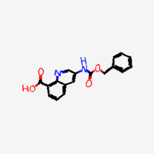 O=C(Nc1cnc2c(C(=O)O)cccc2c1)OCc1ccccc1